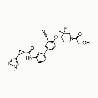 Cn1cc([C@H]2C[C@@H]2C(=O)Nc2cccc(-c3ccc(O[C@H]4CCN(C(=O)CO)CC4(F)F)c(C#N)c3)c2)cn1